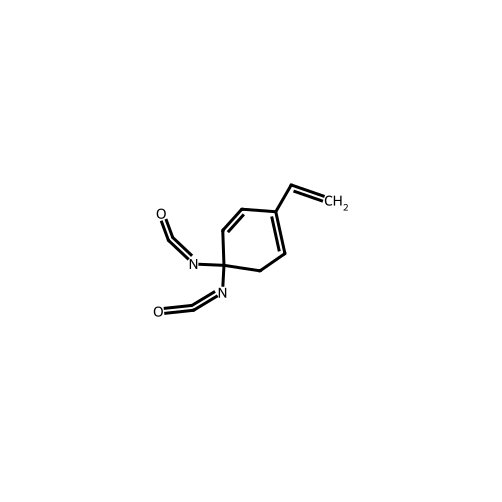 C=CC1=CCC(N=C=O)(N=C=O)C=C1